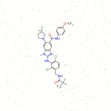 Cn1c(Nc2c(Cl)ccc(CNC(=O)C(C)(C)C(F)(F)F)c2Cl)nc2cc(C(=O)Nc3ccc(OC(F)(F)F)cc3)c(N3CC[C@@H](F)C3)cc21